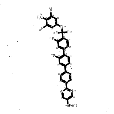 CCCCCc1cnc(-c2ccc(-c3ccc(-c4ccc(C(F)(F)Oc5cc(F)c(C(F)(F)F)c(F)c5)c(F)c4)c(F)c3)cc2)nc1